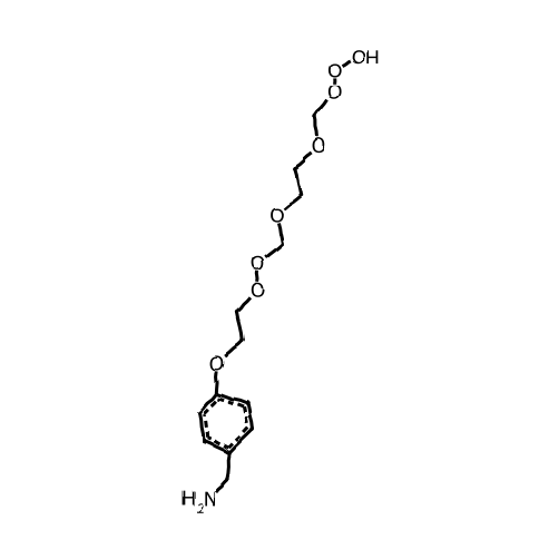 NCc1ccc(OCCOOCOCCOCOOO)cc1